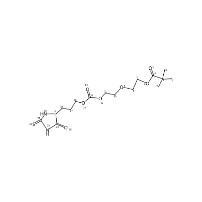 CC(C)(C)C(=O)OCCOCCOC(=O)OCCCC1NC(=S)NC1=O